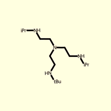 CC(C)NCCN(CCNC(C)C)CCNC(C)(C)C